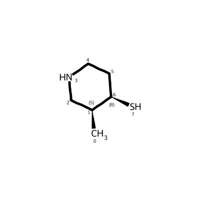 C[C@H]1CNCC[C@H]1S